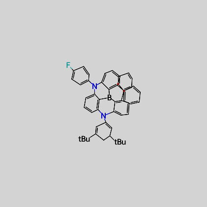 CC(C)(C)C1=CC(N2c3cccc(-c4ccccc4)c3B3c4c(-c5ccccc5)cccc4N(c4ccc(F)cc4)c4cccc2c43)=CC(C(C)(C)C)C1